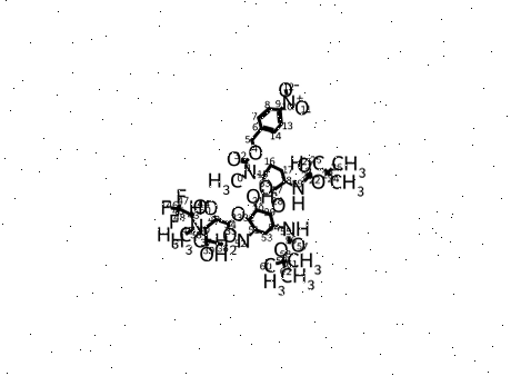 CN(C(=O)OCc1ccc([N+](=O)[O-])cc1)[C@@H]1CC[C@@H](NC(=O)OC(C)(C)C)[C@H](O[C@H]2[C@H](O)[C@@H](O[C@H]3OC[C@](C)(O)[C@H](N(C)C(=O)C(F)(F)F)[C@H]3O)[C@H](N)C[C@@H]2NC(=O)OC(C)(C)C)O1